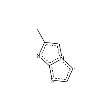 Cc1cn2[c]csc2n1